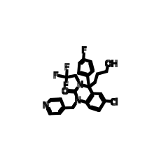 O=C1N(Cc2ccncc2)c2ccc(Cl)cc2C(CCCO)(c2ccc(F)cc2)N1CC(F)(F)F